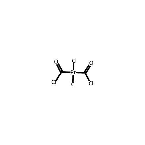 O=[C](Cl)[Pt]([Cl])([Cl])[C](=O)Cl